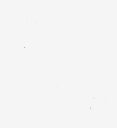 CCN(CC)Cc1cccc(-c2ccc(S(=O)(=O)N(C)c3c(C)nn(C)c3C)cc2)c1